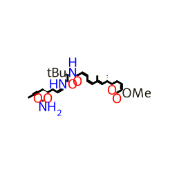 CC#CC[C@@H](C/C=C\NC(=O)C(NC(=O)\C=C/C=C\C(C)=C\[C@H](C)C1CC=C(OC)C(=O)O1)C(C)(C)C)OC(N)=O